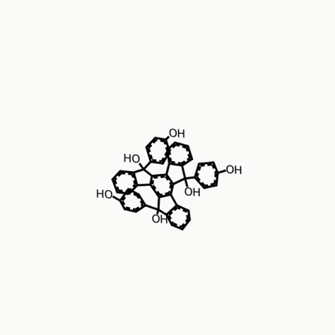 Oc1ccc(C2(O)c3ccccc3-c3c2c2c(c4c3C(O)(c3ccc(O)cc3)c3ccccc3-4)C(O)(c3ccc(O)cc3)c3ccccc3-2)cc1